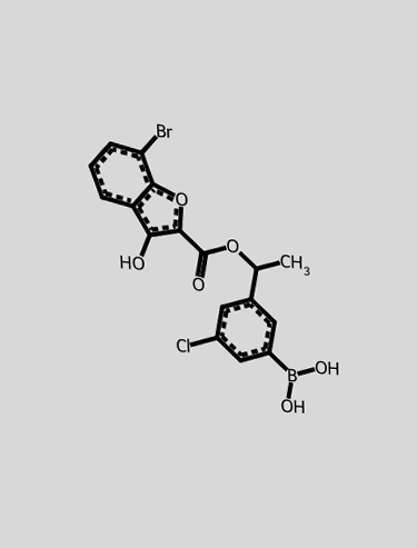 CC(OC(=O)c1oc2c(Br)cccc2c1O)c1cc(Cl)cc(B(O)O)c1